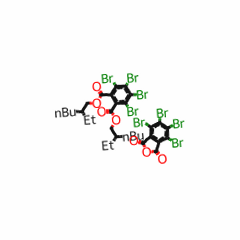 CCCCC(CC)COC(=O)c1c(Br)c(Br)c(Br)c(Br)c1C(=O)OCC(CC)CCCC.O=C1OC(=O)c2c(Br)c(Br)c(Br)c(Br)c21